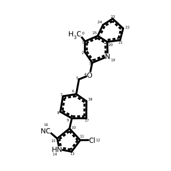 Cc1cc(OCc2ccc(-c3c(Cl)c[nH]c3C#N)cc2)nc2ccccc12